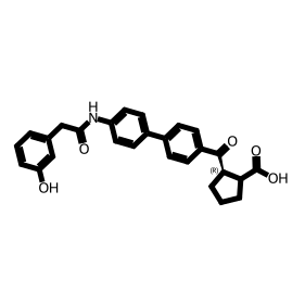 O=C(Cc1cccc(O)c1)Nc1ccc(-c2ccc(C(=O)[C@@H]3CCCC3C(=O)O)cc2)cc1